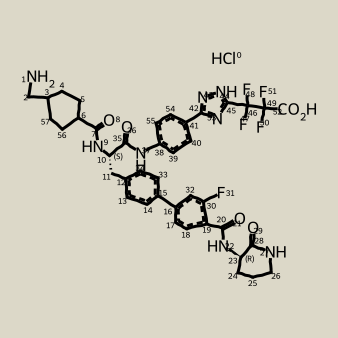 Cl.NCC1CCC(C(=O)N[C@@H](Cc2ccc(-c3ccc(C(=O)N[C@@H]4CCCNC4=O)c(F)c3)cc2)C(=O)Nc2ccc(-c3n[nH]c(C(F)(F)C(F)(F)C(=O)O)n3)cc2)CC1